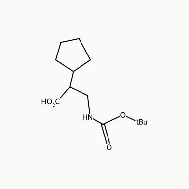 CC(C)(C)OC(=O)NCC(C(=O)O)C1CCCC1